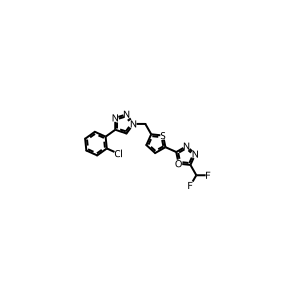 FC(F)c1nnc(-c2ccc(Cn3cc(-c4ccccc4Cl)nn3)s2)o1